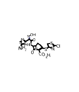 Nc1nc(/C(=N/O)C(=O)NC2C(=O)N3C(C(=O)O)=C(SC4CSC(Cl)=N4)CCC23)ns1